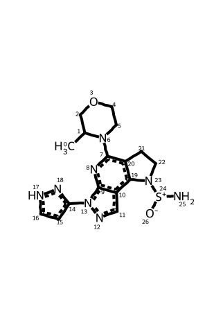 CC1COCCN1c1nc2c(cnn2-c2cc[nH]n2)c2c1CCN2[S+](N)[O-]